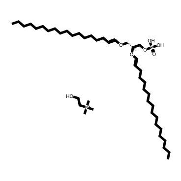 CCCCCCCCCCCCCCCCC=COC[C@H](COP(=O)(O)O)OC=CCCCCCCCCCCCCCCCC.C[N+](C)(C)CCO